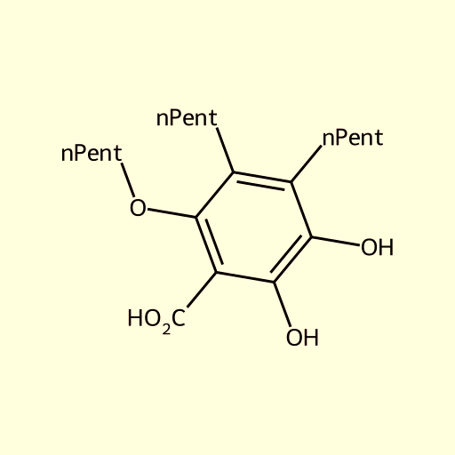 CCCCCOc1c(CCCCC)c(CCCCC)c(O)c(O)c1C(=O)O